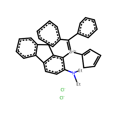 CCN(CC)c1ccc2c([c]1[Zr+2]([C]1=CC=CC1)=[C](c1ccccc1)c1ccccc1)Cc1ccccc1-2.[Cl-].[Cl-]